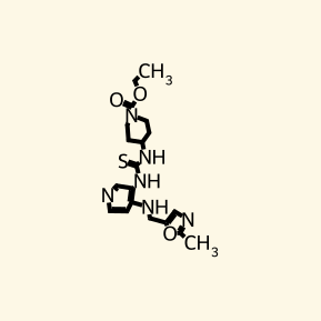 CCOC(=O)N1CCC(NC(=S)Nc2cnccc2NCc2cnc(C)o2)CC1